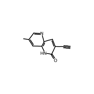 C#Cc1cc2ncc(C)cc2[nH]c1=O